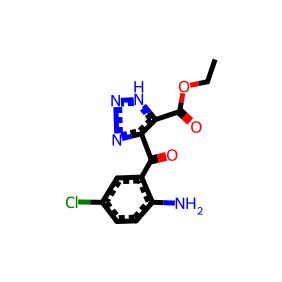 CCOC(=O)c1[nH]nnc1C(=O)c1cc(Cl)ccc1N